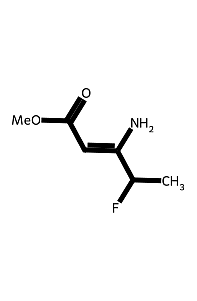 COC(=O)C=C(N)C(C)F